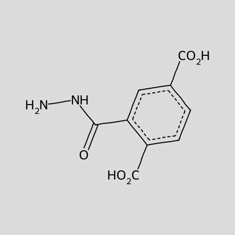 NNC(=O)c1cc(C(=O)O)ccc1C(=O)O